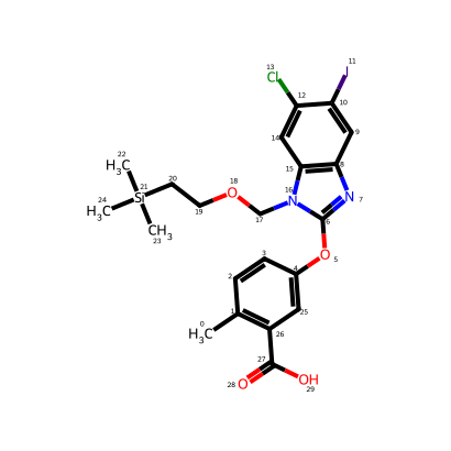 Cc1ccc(Oc2nc3cc(I)c(Cl)cc3n2COCC[Si](C)(C)C)cc1C(=O)O